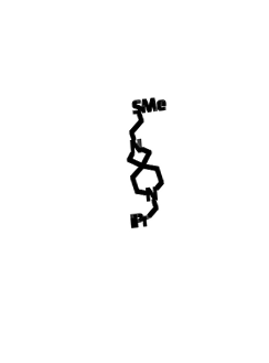 CSCCN1CC2(CCN(CC(C)C)CC2)C1